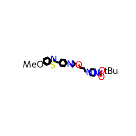 COc1ccc2nc(-c3ccc(N4CC(OCCCN5CCN(C(=O)OC(C)(C)C)CC5)C4)cc3)sc2c1